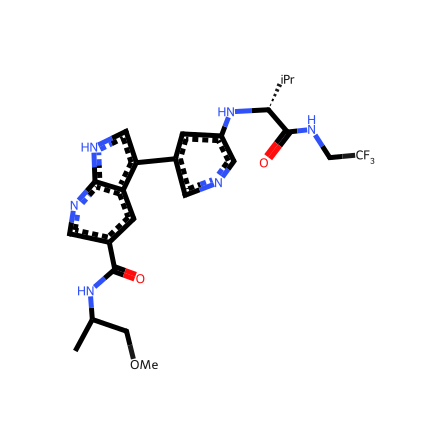 COCC(C)NC(=O)c1cnc2[nH]cc(-c3cncc(N[C@@H](C(=O)NCC(F)(F)F)C(C)C)c3)c2c1